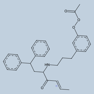 C/C=C/C(=O)C(CC(c1ccccc1)c1ccccc1)NCCCc1cccc(OOC(C)=O)c1